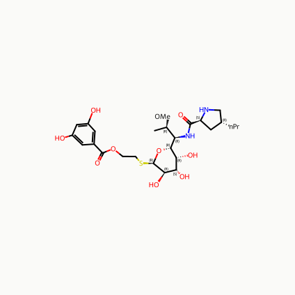 CCC[C@H]1CN[C@H](C(=O)N[C@@H]([C@H]2O[C@H](SCCOC(=O)c3cc(O)cc(O)c3)[C@H](O)[C@@H](O)[C@H]2O)[C@@H](C)OC)C1